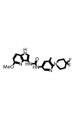 COc1ccc2[nH]cc(NC(=O)Nc3cnc(N4CCC(F)(F)CC4)c(C)c3)c2n1